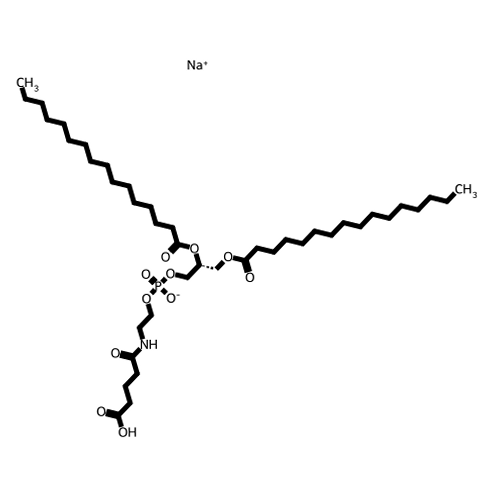 CCCCCCCCCCCCCCCC(=O)OC[C@H](COP(=O)([O-])OCCNC(=O)CCCC(=O)O)OC(=O)CCCCCCCCCCCCCCC.[Na+]